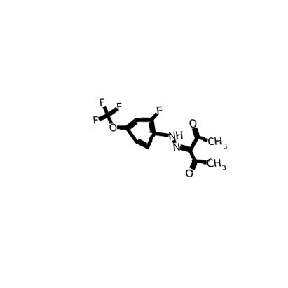 CC(=O)C(=NNc1ccc(OC(F)(F)F)cc1F)C(C)=O